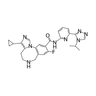 CC(C)n1cnnc1-c1cccc(NC(=O)c2cc3c(cc2F)CNCCc2c(C4CC4)ncn2-3)n1